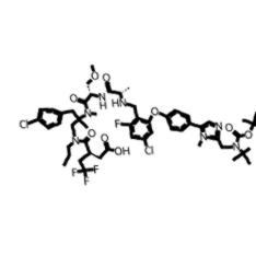 CCCN(CC(C)(Cc1ccc(Cl)cc1)N(C)C(=O)[C@H](COC)NC(=O)[C@H](C)NCc1c(F)cc(Cl)cc1Oc1ccc(-c2cnc(CN(C(=O)OC(C)(C)C)C(C)(C)C)n2C)cc1)C(=O)[C@@H](CC(=O)O)CC(F)(F)F